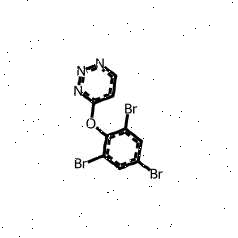 Brc1cc(Br)c(Oc2ccnnn2)c(Br)c1